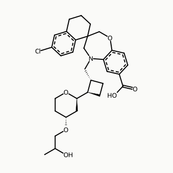 CC(O)CO[C@@H]1CCO[C@@H]([C@@H]2CC[C@H]2CN2CC3(CCCc4cc(Cl)ccc43)COc3ccc(C(=O)O)cc32)C1